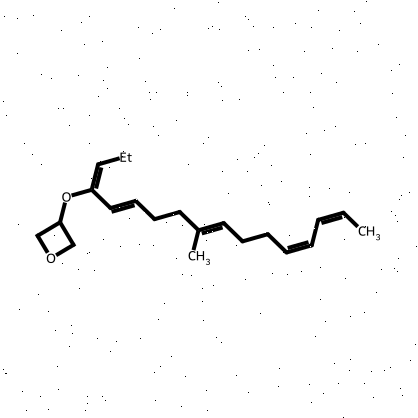 C/C=C\C=C/CC/C=C(\C)CCC=C/C(=C\CC)OC1COC1